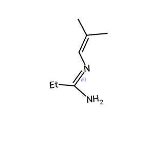 CC/C(N)=N\C=C(C)C